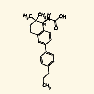 CCCc1ccc(-c2ccc3c(c2)CCC(C)(C)[C@H]3NC(=O)O)cc1